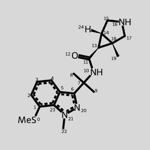 CSc1cccc2c(C(C)(C)NC(=O)[C@H]3[C@@H]4CNC[C@@]43C)nn(C)c12